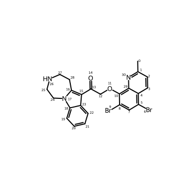 Cc1ccc2c(Br)cc(Br)c(OCC(=O)c3c4n(c5ccccc35)CCNCC4)c2n1